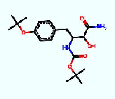 CC(C)(C)OC(=O)N[C@@H](Cc1ccc(OC(C)(C)C)cc1)C(O)C(N)=O